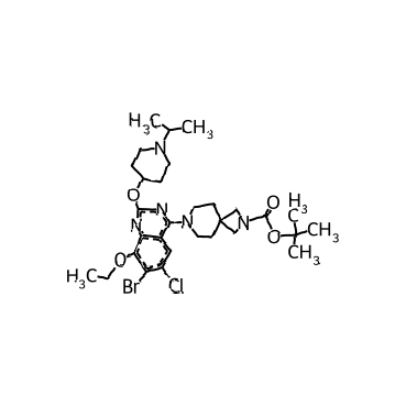 CCOc1c(Br)c(Cl)cc2c(N3CCC4(CC3)CN(C(=O)OC(C)(C)C)C4)nc(OC3CCN(C(C)C)CC3)nc12